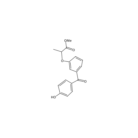 COC(=O)C(C)Oc1cccc(C(=O)c2ccc(O)cc2)c1